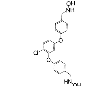 ONCc1ccc(Oc2ccc(Cl)c(Oc3ccc(CNO)cc3)c2)cc1